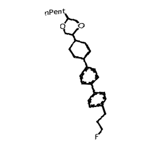 CCCCCC1COC(C2CCC(c3ccc(-c4ccc(CCCF)cc4)cc3)CC2)CO1